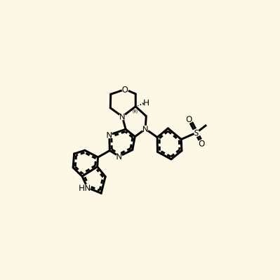 CS(=O)(=O)c1cccc(N2C[C@@H]3COCCN3c3nc(-c4cccc5[nH]ccc45)ncc32)c1